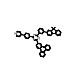 CC1(C)c2ccccc2-c2ccc(-c3cccc(-c4nc(-c5ccc(-c6ccncc6)cc5)nc(-c5ccc6c7ccccc7c7ccccc7c6c5)n4)c3)cc21